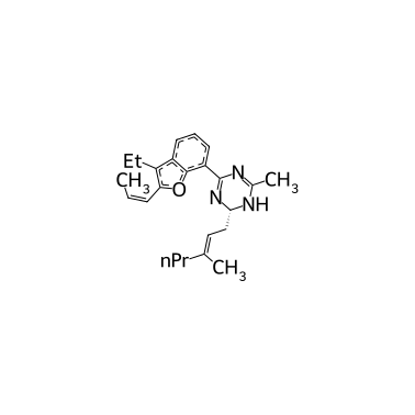 C/C=C\c1oc2c(C3=N[C@@H](C/C=C(\C)CCC)NC(C)=N3)cccc2c1CC